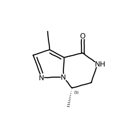 Cc1cnn2c1C(=O)NC[C@@H]2C